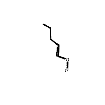 CCCC=CO[N]